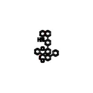 c1ccc(Nc2cc(-c3cccc4c3Oc3ccccc3C43c4ccccc4Oc4ccc(-c5ccccc5)cc43)ccc2-c2ccccc2)cc1